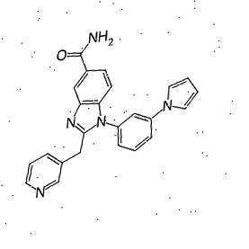 NC(=O)c1ccc2c(c1)nc(Cc1cccnc1)n2-c1cccc(-n2cccc2)c1